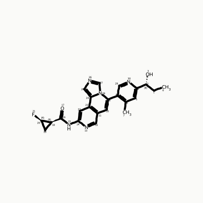 CC[C@@H](O)c1cc(C)c(-c2cc3cnc(NC(=O)[C@H]4C[C@H]4F)cc3c3cncn23)cn1